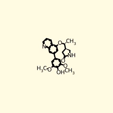 COc1cc(-c2cc(O[C@H](C)[C@H]3CNC(=O)C3)c3cccnc3c2)cc(OC)c1O